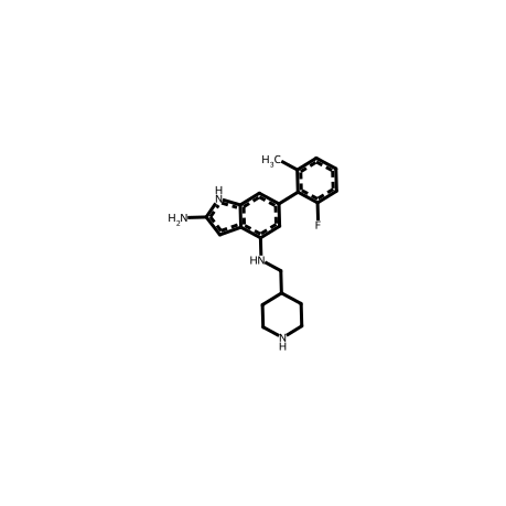 Cc1cccc(F)c1-c1cc(NCC2CCNCC2)c2cc(N)[nH]c2c1